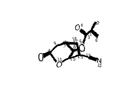 C=C(C)C(=O)OC1C2CC(=O)OC1C(C#N)C2